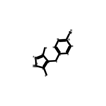 Cc1n[nH]c(C)c1Cc1ccc(Br)cc1